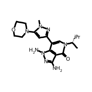 CC(C)[C@H](C)n1cc(-c2cc(N3CCOCC3)n(C)n2)c2c(c(N)nn2N)c1=O